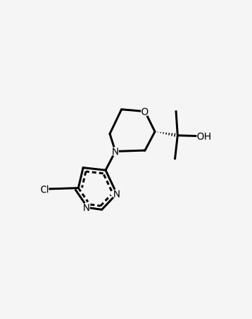 CC(C)(O)[C@@H]1CN(c2cc(Cl)ncn2)CCO1